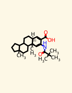 CC(C)(C)C(=O)NC1=C[C@]2(C)C3CC[C@]4(C)CCCC4C3CC[C@H]2C=C1C(=O)O